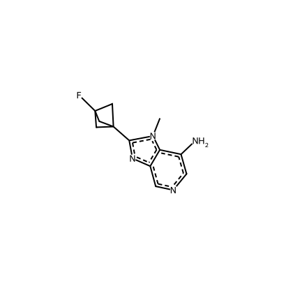 Cn1c(C23CC(F)(C2)C3)nc2cncc(N)c21